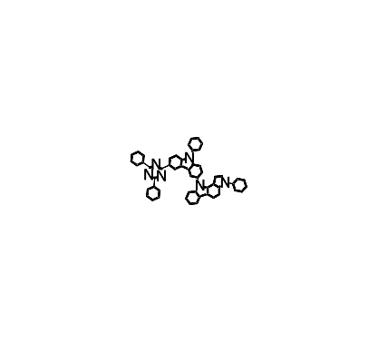 c1ccc(-c2nc(-c3ccccc3)nc(-c3ccc4c(c3)c3cc(-n5c6ccccc6c6ccc7c(ccn7-c7ccccc7)c65)ccc3n4-c3ccccc3)n2)cc1